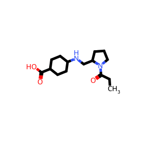 CCC(=O)N1CCCC1CNC1CCC(C(=O)O)CC1